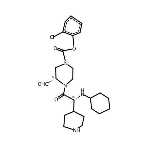 O=C[C@@H]1CN(C(=O)Oc2ccccc2Cl)CCN1C(=O)[C@H](NC1CCCCC1)C1CCNCC1